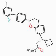 COC(=O)C[C@H](c1ccc2c(c1)O[C@H](c1ccc(-c3cc(C)ccc3F)cc1)CC2)C1CCC1